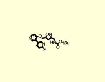 CC(C)(C)OC(=O)NCC1=NOC(COc2ccncc2-c2ccc(F)nc2)C1